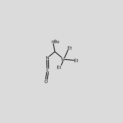 CCCCC(N=C=O)[Si](CC)(CC)CC